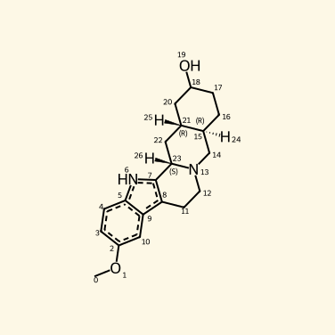 COc1ccc2[nH]c3c(c2c1)CCN1C[C@@H]2CCC(O)C[C@H]2C[C@@H]31